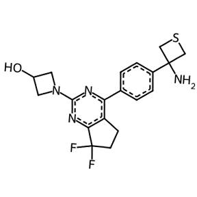 NC1(c2ccc(-c3nc(N4CC(O)C4)nc4c3CCC4(F)F)cc2)CSC1